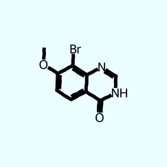 COc1ccc2c(=O)[nH]cnc2c1Br